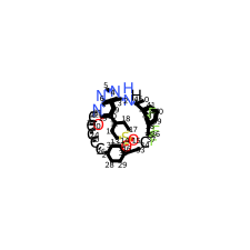 C[C@@H]1Nc2ncnc3c2cc(C2CCS(=O)(=O)CC2)c(=O)n3CCCCCC2CCC(CC2)CCC(F)(F)c2cccc1c2F